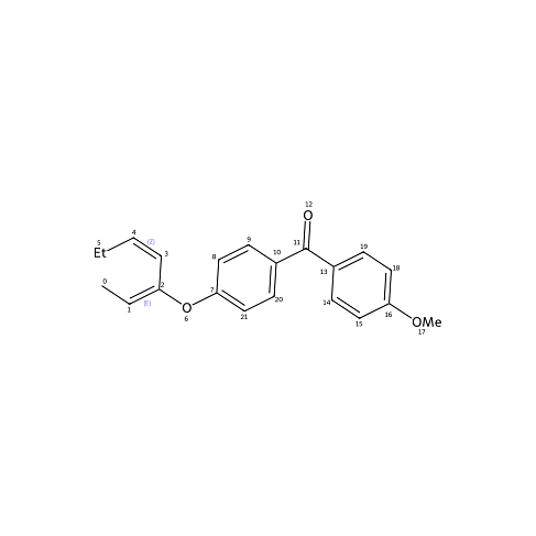 C/C=C(\C=C/CC)Oc1ccc(C(=O)c2ccc(OC)cc2)cc1